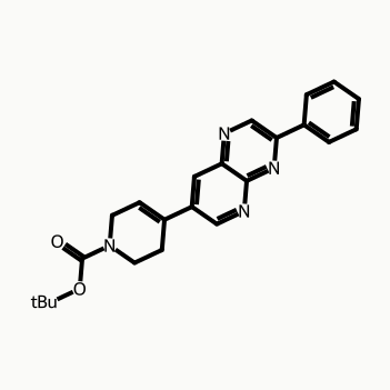 CC(C)(C)OC(=O)N1CC=C(c2cnc3nc(-c4ccccc4)cnc3c2)CC1